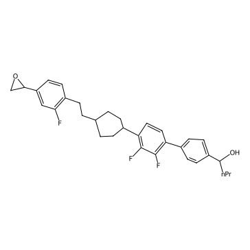 CCCC(O)c1ccc(-c2ccc(C3CCC(CCc4ccc(C5CO5)cc4F)CC3)c(F)c2F)cc1